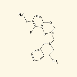 CCCN(Cc1ccccc1)C[C@H]1COc2ccc(SC)c(F)c2O1